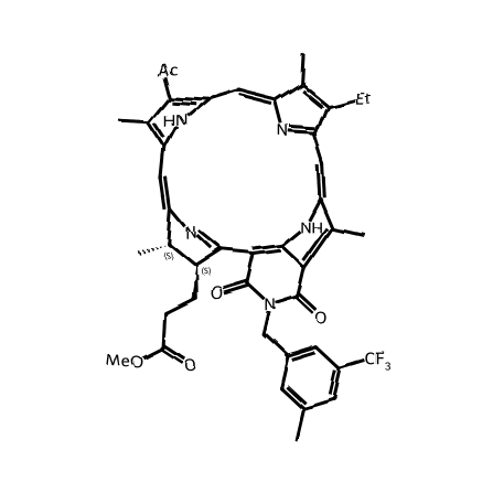 CCC1=C(C)c2cc3[nH]c(cc4nc(c5c6[nH]c(cc1n2)c(C)c6C(=O)N(Cc1cc(C)cc(C(F)(F)F)c1)C5=O)[C@@H](CCC(=O)OC)[C@@H]4C)c(C)c3C(C)=O